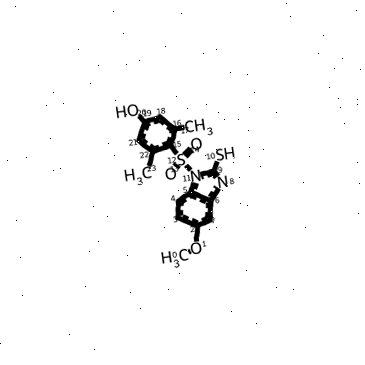 COc1ccc2c(c1)nc(S)n2S(=O)(=O)c1c(C)cc(O)cc1C